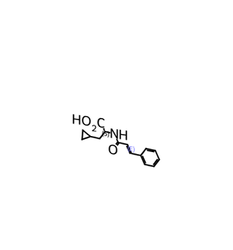 O=C(/C=C/c1ccccc1)N[C@@H](CC1CC1)C(=O)O